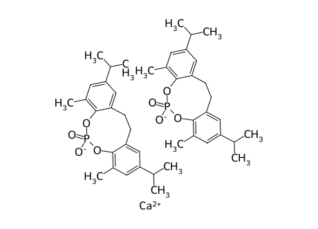 Cc1cc(C(C)C)cc2c1OP(=O)([O-])Oc1c(C)cc(C(C)C)cc1CC2.Cc1cc(C(C)C)cc2c1OP(=O)([O-])Oc1c(C)cc(C(C)C)cc1CC2.[Ca+2]